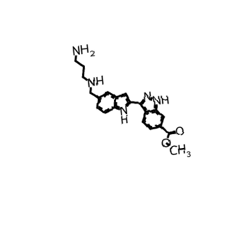 COC(=O)c1ccc2c(-c3cc4cc(CNCCCN)ccc4[nH]3)n[nH]c2c1